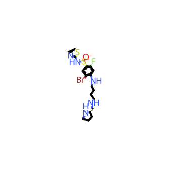 [O-][S+](Nc1nccs1)c1cc(Br)c(NCCCCNC[C@@H]2CCCN2)cc1F